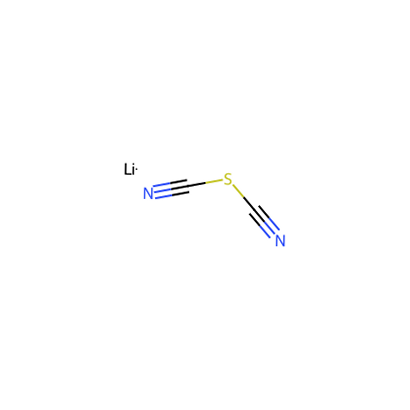 N#CSC#N.[Li]